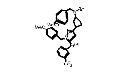 COc1ccc(CN(C(C)=O)C2CCC(c3cc(Nc4cccc(C(F)(F)F)c4)n(Cc4ccc(OC)cc4)n3)C2)cc1